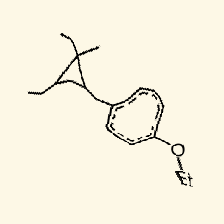 CCOc1ccc(C2C(C)C2(C)C)cc1